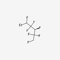 [CH2]CC(F)C(F)(F)[C@@H](F)C(F)(F)CF